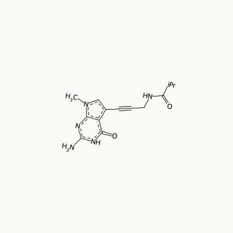 CC(C)C(=O)NCC#Cc1cn(C)c2nc(N)[nH]c(=O)c12